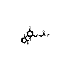 COC(=O)COCc1cc(Cl)cc2c1O[C@@H]1CC=C[C@H]21